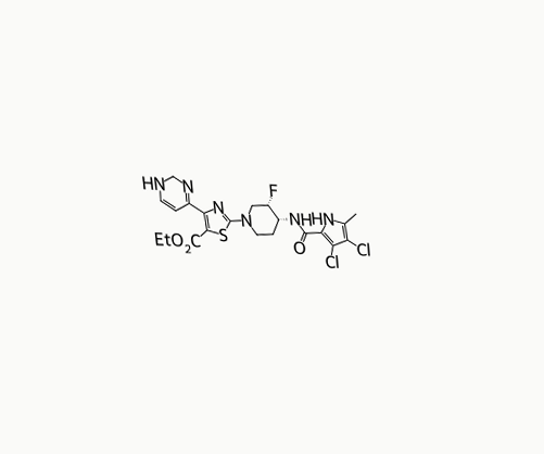 CCOC(=O)c1sc(N2CC[C@@H](NC(=O)c3[nH]c(C)c(Cl)c3Cl)[C@@H](F)C2)nc1C1=NCNC=C1